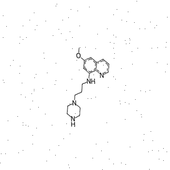 COc1cc(NCCCN2CCNCC2)c2ncccc2c1